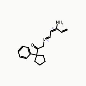 C=C/C(N)=C\C=N\CC(=O)C1(c2ccccc2)CCCC1